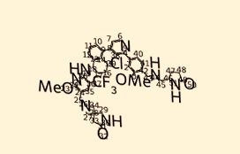 COc1cc(-c2nccc(-c3cccc4c3CCC[C@@H]4Nc3nc(OC)c(CN4CC5(CNC(=O)C5)C4)cc3C(F)(F)F)c2Cl)ccc1CNC[C@H]1CCC(=O)N1